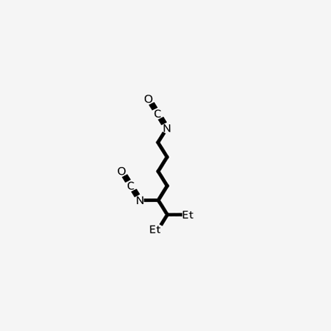 CCC(CC)C(CCCCN=C=O)N=C=O